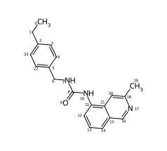 CCc1ccc(CNC(=O)Nc2cccc3cnc(C)cc23)cc1